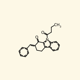 CCCC(=O)n1c2c(c3ccccc31)CC/C(=C\c1ccccc1)C2=O